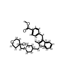 COC(=O)c1ccc(Cc2c(C)n(CC3CCN(CC4(O)CCOCC4)CC3)c3ccccc23)cc1